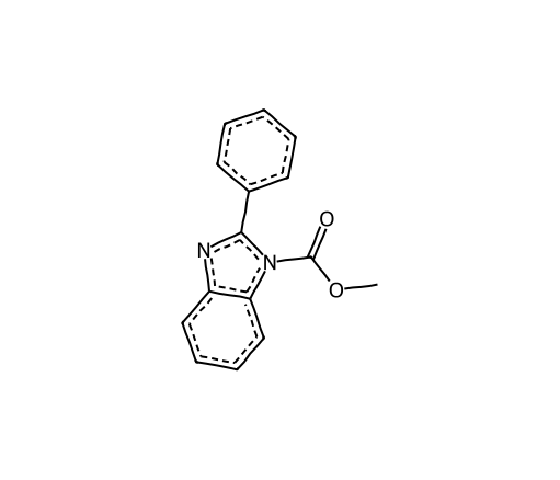 COC(=O)n1c(-c2ccccc2)nc2ccccc21